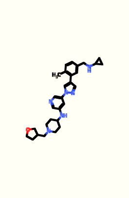 Cc1ccc(CNC2CC2)cc1-c1cnn(-c2cncc(NC3CCN(CC4CCOC4)CC3)c2)c1